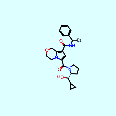 CC[C@@H](NC(=O)c1cc(C(=O)N2CCC[C@@H]2C(O)C2CC2)n2c1COCC2)c1ccccc1